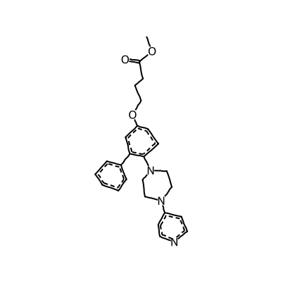 COC(=O)CCCOc1ccc(N2CCN(c3ccncc3)CC2)c(-c2ccccc2)c1